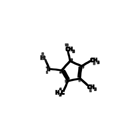 C[CH2][Ti][C]1=C(C)C(C)=C(C)C1C